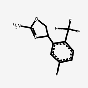 NC1=NC(c2cc(F)ccc2C(F)(F)F)CO1